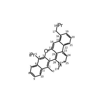 Cc1c2c(c(C(C)C)c3ccccc13)Oc1cc3c(CC(C)C)cccc3c3cc[n+](C)c-2c13